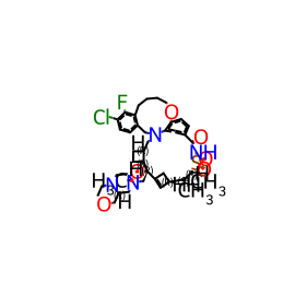 CCO[C@@]1(CN2CCN3CCOC[C@H]3C2)C2=C[C@@H](C2)[C@H](C)[C@@H](C)S(=O)(=O)NC(=O)c2ccc3c(c2)N(Cc2ccc(Cl)c(F)c2CCCCO3)C[C@@H]2CC[C@H]21